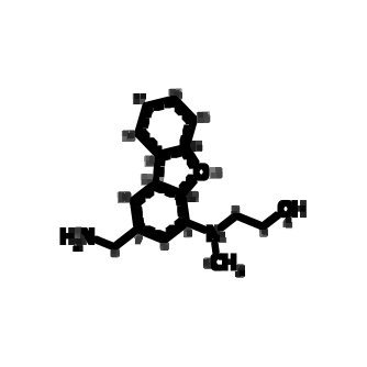 CN(CCO)c1cc(CN)cc2c1oc1ccccc12